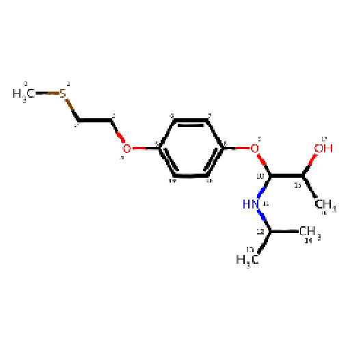 CSCCOc1ccc(OC(NC(C)C)C(C)O)cc1